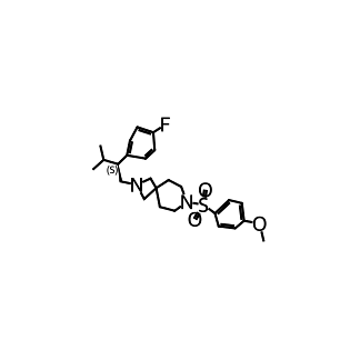 COc1ccc(S(=O)(=O)N2CCC3(CC2)CN(C[C@H](c2ccc(F)cc2)C(C)C)C3)cc1